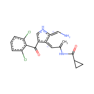 C=C(/C=c1/c(C(=O)c2c(Cl)cccc2Cl)c[nH]/c1=C/N)NC(=O)C1CC1